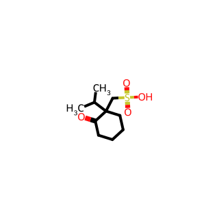 CC(C)C1(CS(=O)(=O)O)CCCCC1=O